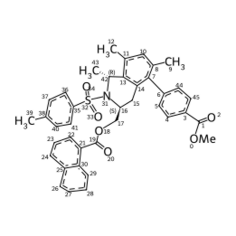 COC(=O)c1ccc(-c2c(C)cc(C)c3c2C[C@@H](COC(=O)c2cccc4ccccc24)N(S(=O)(=O)c2ccc(C)cc2)[C@@H]3C)cc1